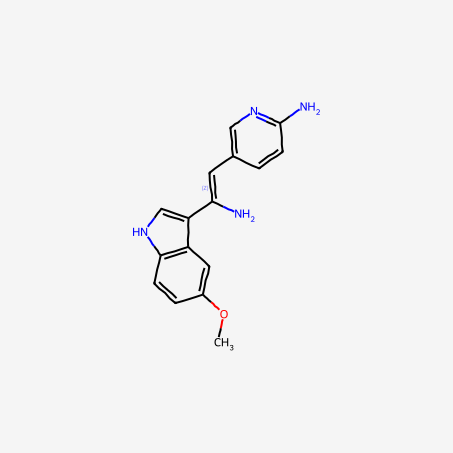 COc1ccc2[nH]cc(/C(N)=C/c3ccc(N)nc3)c2c1